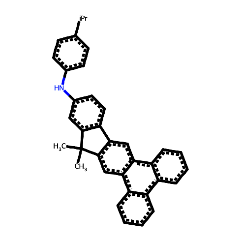 CC(C)c1ccc(Nc2ccc3c(c2)C(C)(C)c2cc4c5ccccc5c5ccccc5c4cc2-3)cc1